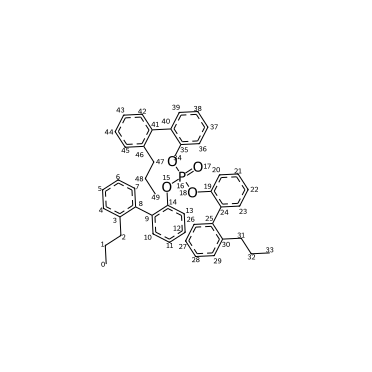 CCCc1ccccc1-c1ccccc1OP(=O)(Oc1ccccc1-c1ccccc1CCC)Oc1ccccc1-c1ccccc1CCC